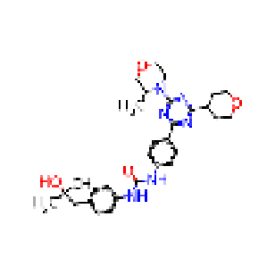 CC1COCCN1c1nc(-c2ccc(NC(=O)Nc3ccc(CC(C)(C)O)cc3)cc2)nc(C2CCOCC2)n1